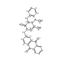 O=C1c2ccccc2C(=O)c2cc(COC(=O)N(Cc3ccccc3)C(CO)C(=O)O)ccc21